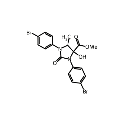 COC(=O)C1(O)[C@H](C)N(c2ccc(Br)cc2)C(=O)N1c1ccc(Br)cc1